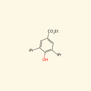 CCOC(=O)c1cc(C(C)C)c(O)c(C(C)C)c1